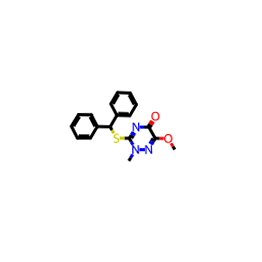 COc1nn(C)c(SC(c2ccccc2)c2ccccc2)nc1=O